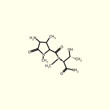 CC1C(N)C(=O)N(C)C1C(=O)N(C)[C@H](C(N)=O)[C@@H](C)O